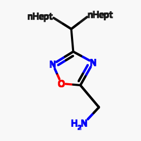 CCCCCCCC(CCCCCCC)c1noc(CN)n1